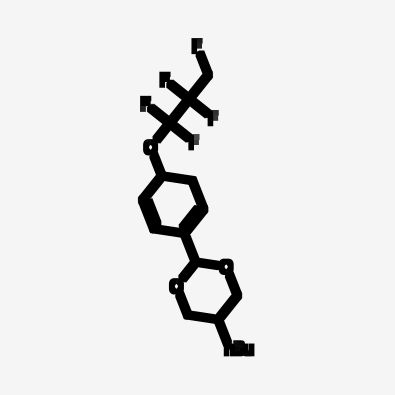 CCCCC1COC(C2=CCC(OC(F)(F)C(F)(F)CF)C=C2)OC1